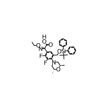 CCON=C(C(=O)O)c1cc(CO[Si](c2ccccc2)(c2ccccc2)C(C)(C)C)c(N2C[C@@H](C)O[C@H](C)C2)c(F)c1F